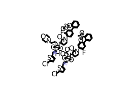 CS(=O)(=O)c1c(-c2ccccc2)ccc(N2CC[C@H](N(CCN3CCOCC3)S(=O)(=O)/C=C/c3ccc(Cl)s3)C2=O)c1F.CS(=O)(=O)c1ccccc1-c1ccc(N2CC[C@H](N(C(=O)O)S(=O)(=O)/C=C/c3ccc(Cl)s3)C2=O)c(F)c1